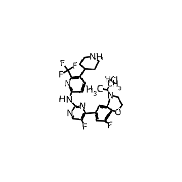 CC(C)N1CCOc2c(F)cc(-c3nc(Nc4ccc(C5CCNCC5)c(C(F)(F)F)n4)ncc3F)cc21.Cl